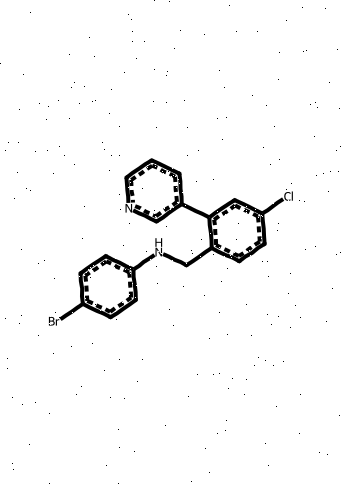 Clc1ccc(CNc2ccc(Br)cc2)c(-c2cccnc2)c1